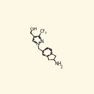 NC1Cc2ccc(Cn3cc(CO)c(C(F)(F)F)n3)cc2C1